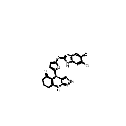 O=C1CCCC2=C1C(c1ccc(Sc3nc4cc(Cl)c(Cl)cc4[nH]3)o1)c1c[nH]nc1N2